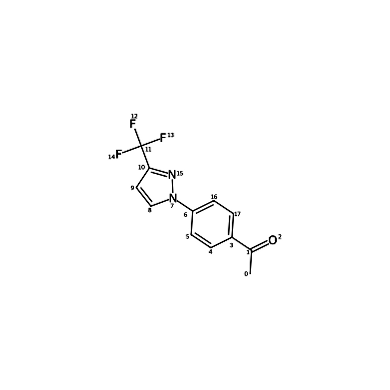 CC(=O)c1ccc(-n2ccc(C(F)(F)F)n2)cc1